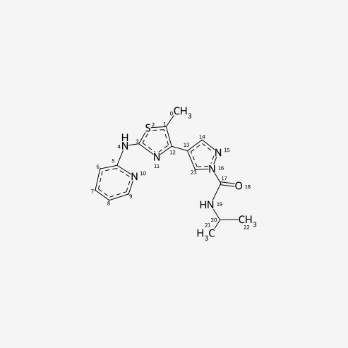 Cc1sc(Nc2ccccn2)nc1-c1cnn(C(=O)NC(C)C)c1